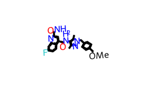 COCc1ccc(Cn2nc(C)c(NC(=O)c3cc(C(N)=O)nc4cc(F)ccc34)c2C)cc1